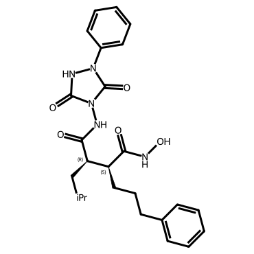 CC(C)C[C@@H](C(=O)Nn1c(=O)[nH]n(-c2ccccc2)c1=O)[C@H](CCCc1ccccc1)C(=O)NO